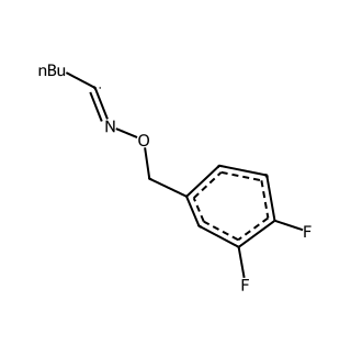 CCCC/[C]=N/OCc1ccc(F)c(F)c1